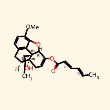 C/C=C/C=C/C(=O)OC1=CC[C@@]2(O)[C@H]3Cc4ccc(OC)c5c4[C@@]2(CCC3C)[C@H]1O5